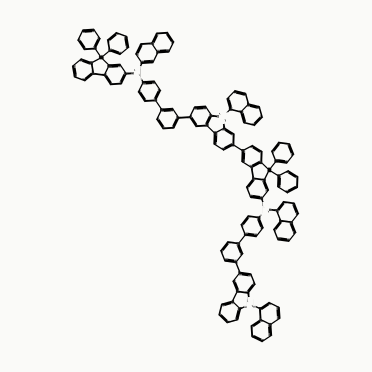 c1ccc(C2(c3ccccc3)c3ccccc3-c3ccc(N(c4ccc(-c5cccc(-c6ccc7c(c6)c6ccc(-c8ccc9c(c8)-c8ccc(N(c%10ccc(-c%11cccc(-c%12ccc%13c(c%12)c%12ccccc%12n%13-c%12cccc%13ccccc%12%13)c%11)cc%10)c%10cccc%11ccccc%10%11)cc8C9(c8ccccc8)c8ccccc8)cc6n7-c6cccc7ccccc67)c5)cc4)c4ccc5ccccc5c4)cc32)cc1